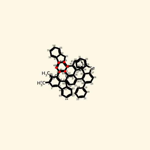 Cc1cc2c(c(-c3cnnnc3-c3cccc(-c4c(-c5ccccc5)ccc5[se]c6ccccc6c45)c3-c3nnncc3-c3c(C)c(C)cc4c3Cc3ccccc3-4)c1C)Cc1ccccc1-2